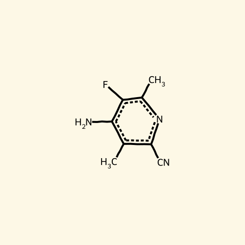 Cc1nc(C#N)c(C)c(N)c1F